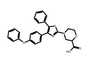 O=C(O)C1CN(c2nc(-c3ccc(Oc4ccccc4)cc3)c(-c3ccccc3)s2)CCO1